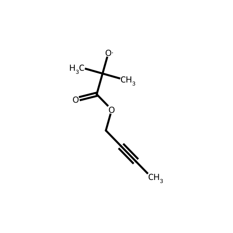 CC#CCOC(=O)C(C)(C)[O]